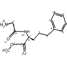 COC(=O)[C@H](CCCc1ccccc1)NC(=O)CN